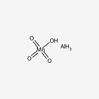 [AlH3].[O]=[Mn](=[O])(=[O])[OH]